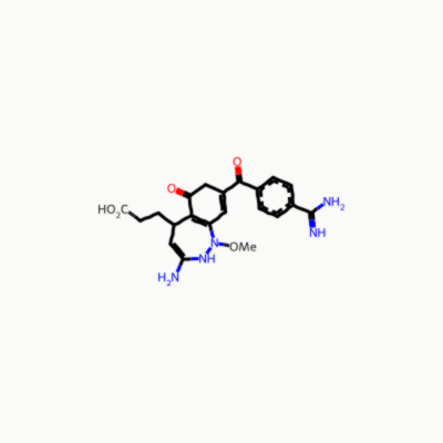 CON1NC(N)=CC(CCC(=O)O)C2=C1C=C(C(=O)c1ccc(C(=N)N)cc1)CC2=O